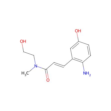 CN(CCO)C(=O)/C=C/c1cc(O)ccc1N